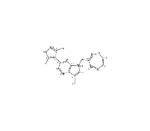 Cc1noc(C)c1-c1cnc2c(I)cn(CC3=CCC=CC=N3)c2c1